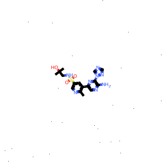 Cc1ncc(S(=O)(=O)NCC(C)(C)O)cc1-c1cnc(N)c(-n2cncn2)n1